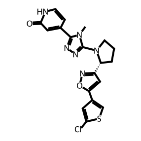 Cn1c(-c2cc[nH]c(=O)c2)nnc1N1CCC[C@@H]1c1cc(-c2csc(Cl)c2)on1